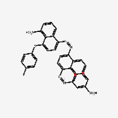 Cc1ccc(Nc2ccc(/N=N\c3ccc(/N=N\c4cccc(S(=O)(=O)O)c4)c4ccccc34)c3cccc(S(=O)(=O)O)c23)cc1